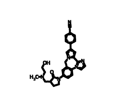 CN(CCO)CC1CCN(c2ccc3c(c2)Cn2cc(-c4ccc(C#N)cc4)cc2-c2nccn2-3)C1=O